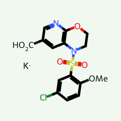 COc1ccc(Cl)cc1S(=O)(=O)N1CCOc2ncc(C(=O)O)cc21.[K]